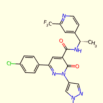 C[C@H](NC(=O)c1cc(-c2ccc(Cl)cc2)nn(-c2cnn(C)c2)c1=O)c1ccnc(C(F)(F)F)c1